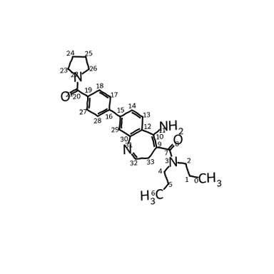 CCCN(CCC)C(=O)C1=C(N)c2ccc(-c3ccc(C(=O)N4CCCC4)cc3)cc2N=CC1